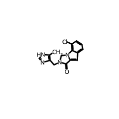 Cc1[nH]cnc1CN1Cn2c(cc3cccc(Cl)c32)C1=O